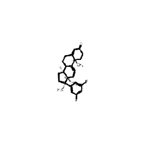 C[C@]12CCC(=O)C=C1CCC1C2=CC[C@@]2(C)[C@H]1CC[C@]2(C)c1cc(F)cc(F)c1